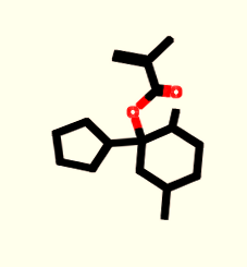 C=C(C)C(=O)OC1(C2CCCC2)CC(C)CCC1C